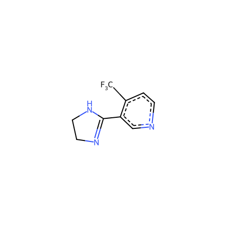 FC(F)(F)c1ccncc1C1=NCCN1